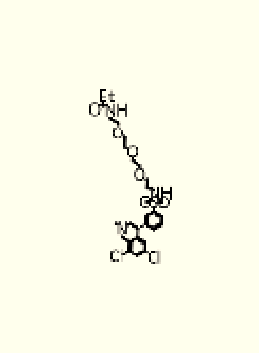 CCC(=O)NCCOCCOCCOCCNS(=O)(=O)c1cccc([C@@H]2CN(C)Cc3c(Cl)cc(Cl)cc32)c1